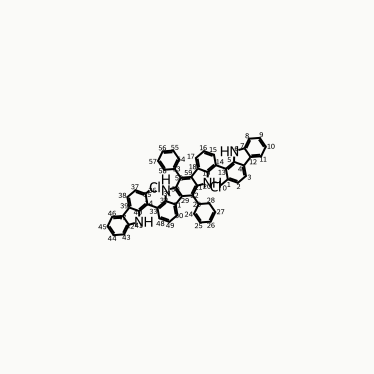 Clc1ccc2c([nH]c3ccccc32)c1-c1cccc2c1[nH]c1c(C3C=CC=CC3)c3c([nH]c4c(-c5c(Cl)ccc6c5[nH]c5ccccc56)cccc43)c(-c3ccccc3)c12